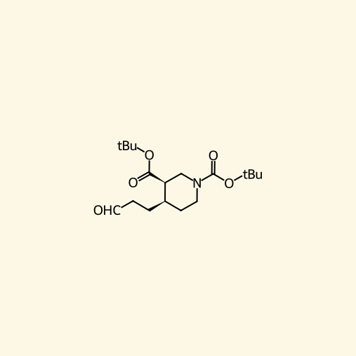 CC(C)(C)OC(=O)[C@H]1CN(C(=O)OC(C)(C)C)CC[C@H]1CCC=O